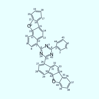 c1ccc(-c2nc(-c3cccc4c3ccc3c5ccccc5oc43)nc(-c3cccc4c3ccc3c5ccccc5oc43)n2)cc1